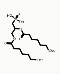 CCCCCCCCCCCCCCCC(=O)OCC(C[As](=O)(O)O)OC(=O)CCCCCCCCCCCCCCC